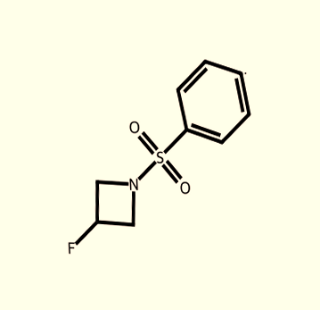 O=S(=O)(c1cc[c]cc1)N1CC(F)C1